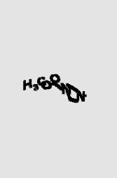 COC(=O)CN1CC[N]CC1